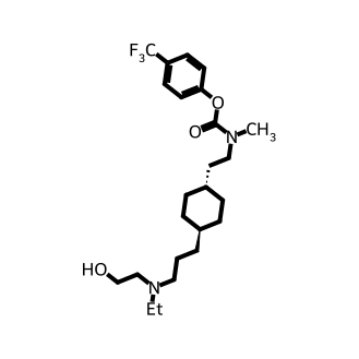 CCN(CCO)CCC[C@H]1CC[C@H](CCN(C)C(=O)Oc2ccc(C(F)(F)F)cc2)CC1